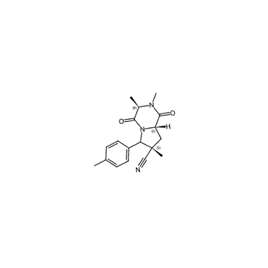 Cc1ccc(C2N3C(=O)[C@@H](C)N(C)C(=O)[C@@H]3C[C@]2(C)C#N)cc1